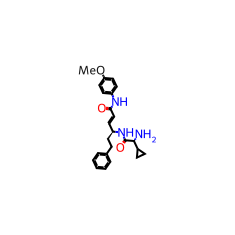 COc1ccc(NC(=O)C=C[C@H](CCc2ccccc2)NC(=O)[C@@H](N)C2CC2)cc1